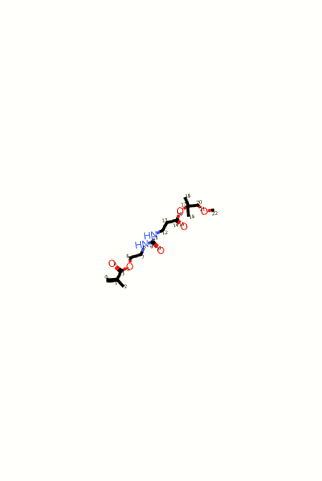 C=C(C)C(=O)OCCNC(=O)NCCC(=O)OC(C)(C)COC